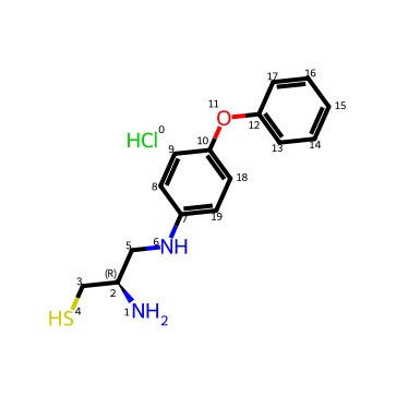 Cl.N[C@@H](CS)CNc1ccc(Oc2ccccc2)cc1